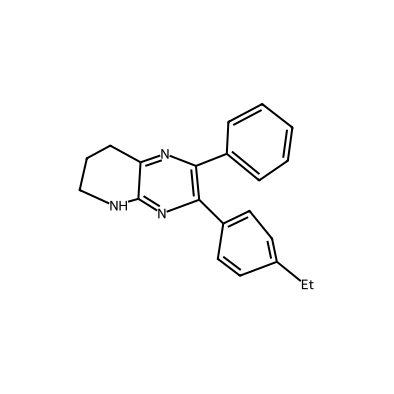 CCc1ccc(-c2nc3c(nc2-c2ccccc2)CCCN3)cc1